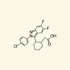 O=C(O)CC1CCCCC1c1c2cc(F)c(F)cc2nn1-c1ccc(Cl)cc1